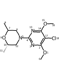 COc1nc(N2CC(C)O[C@@H](C)C2)nc(OC)c1Cl